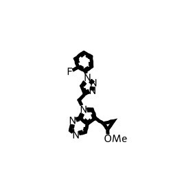 COC1CC1c1cn(Cc2cn(-c3ccccc3F)nn2)c2ncncc12